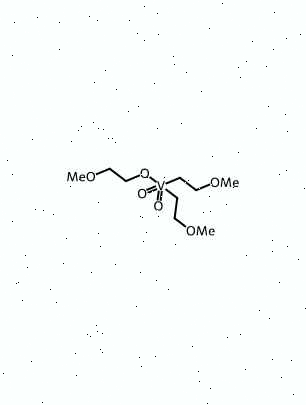 COCC[O][V](=[O])(=[O])([CH2]COC)[CH2]COC